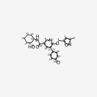 Cc1cc(COc2ncc(C(=O)N[C@@H]3CCCC[C@H]3O)cc2-c2ccc(Cl)cc2)on1